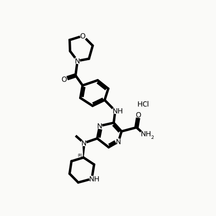 CN(c1cnc(C(N)=O)c(Nc2ccc(C(=O)N3CCOCC3)cc2)n1)[C@@H]1CCCNC1.Cl